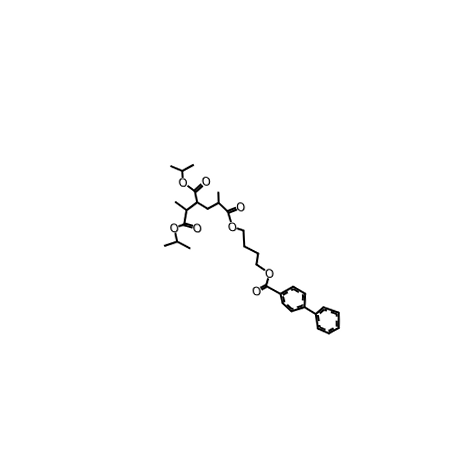 CC(C)OC(=O)C(C)C(CC(C)C(=O)OCCCCOC(=O)c1ccc(-c2ccccc2)cc1)C(=O)OC(C)C